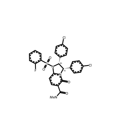 CNC(=O)c1ccc2n(c1=O)[C@@H](c1ccc(Cl)cc1)[C@@H](c1ccc(Cl)cc1)N2S(=O)(=O)c1ccccc1F